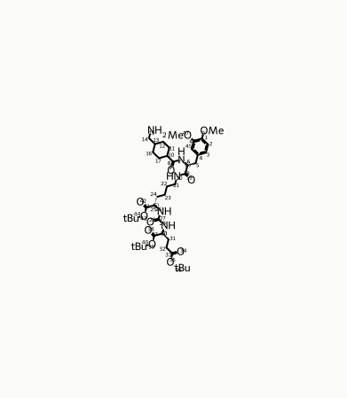 COc1ccc(C[C@H](NC(=O)C2CCC(CN)CC2)C(=O)NCCCC[C@H](NC(=O)N[C@@H](CCC(=O)OC(C)(C)C)C(=O)OC(C)(C)C)C(=O)OC(C)(C)C)cc1OC